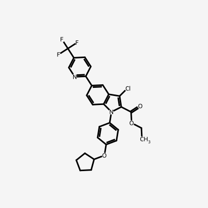 CCOC(=O)c1c(Cl)c2cc(-c3ccc(C(F)(F)F)cn3)ccc2n1-c1ccc(OC2CCCC2)cc1